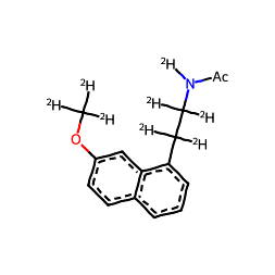 [2H]N(C(C)=O)C([2H])([2H])C([2H])([2H])c1cccc2ccc(OC([2H])([2H])[2H])cc12